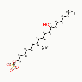 CCCCCCC(O)CCCCCCCCCCCOS(=O)(=O)[O-].[Na+]